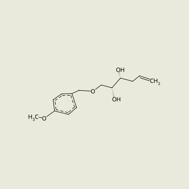 C=CC[C@@H](O)[C@H](O)COCc1ccc(OC)cc1